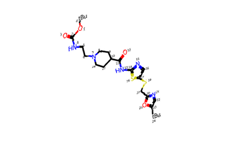 CC(C)(C)OC(=O)NCCN1CCC(C(=O)Nc2ncc(SCc3ncc(C(C)(C)C)o3)s2)CC1